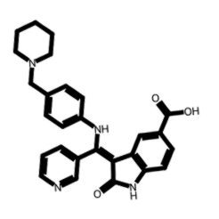 O=C1Nc2ccc(C(=O)O)cc2C1=C(Nc1ccc(CN2CCCCC2)cc1)c1cccnc1